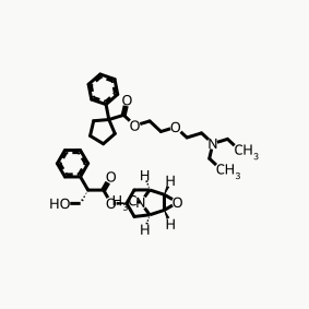 CCN(CC)CCOCCOC(=O)C1(c2ccccc2)CCCC1.CN1[C@@H]2C[C@@H](OC(=O)[C@H](CO)c3ccccc3)C[C@H]1[C@@H]1O[C@@H]12